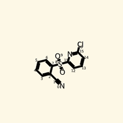 N#Cc1ccccc1S(=O)(=O)c1cccc(Cl)n1